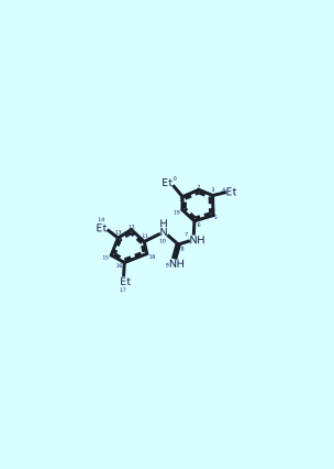 CCc1cc(CC)cc(NC(=N)Nc2cc(CC)cc(CC)c2)c1